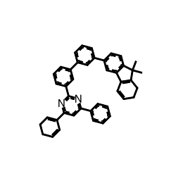 CC1(C)C2=C(C=CCC2)c2cc(-c3cccc(-c4cccc(-c5nc(C6=CCCC=C6)cc(-c6ccccc6)n5)c4)c3)ccc21